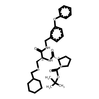 CC(C)(C)OC(=O)N1CCC[C@H]1C(=O)N[C@@H](CSCC1CCCCC1)C(=O)NCc1cccc(Oc2ccccc2)c1